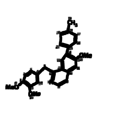 COc1ccc(Cc2nccc3cc(OC)c(-c4ccc(C)cc4)cc23)cc1OC